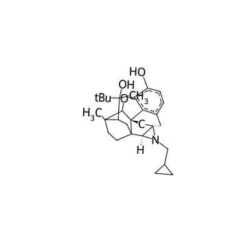 CC12CCC3(CC1C(C)(O)C(C)(C)C)[C@@H]1N(CC4CC4)[C@@]14Cc1ccc(O)c5c1[C@@]3(C4)C2O5